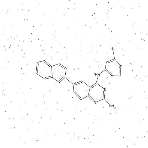 Nc1nc(Nc2cccc(Br)c2)c2cc(-c3ccc4ccccc4c3)ccc2n1